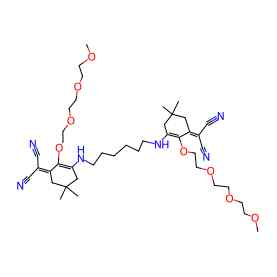 COCCOCCOCCOC1=C(NCCCCCCNC2=C(OCCOCCOCCOC)C(=C(C#N)C#N)CC(C)(C)C2)CC(C)(C)CC1=C(C#N)C#N